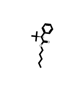 CCCCCOC(=O)[C@H](c1ccccc1)C(C)(C)C